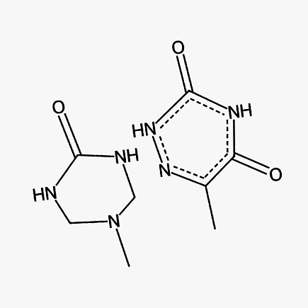 CN1CNC(=O)NC1.Cc1n[nH]c(=O)[nH]c1=O